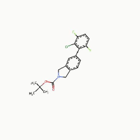 CC(C)(C)OC(=O)N1Cc2ccc(-c3c(F)ccc(F)c3Cl)cc2C1